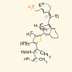 CC\C=C/C(CCCP)=C(CC)/C(C)=C1\CCCC\C1=C(\CCC)c1sc(/C(C)=C(CCCCCC)/C(C)=C\CCC)c(CCCCCC)c1C